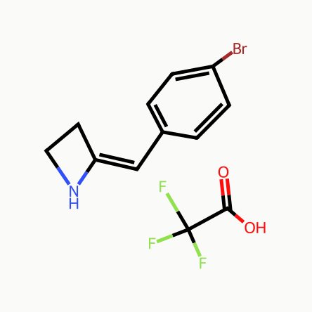 Brc1ccc(C=C2CCN2)cc1.O=C(O)C(F)(F)F